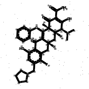 CN(C)[C@@H]1C(O)=C(C(N)=O)C(=O)[C@@]2(C)C(Oc3ccccc3)=C3C(=O)c4c(O)cc(CN5CCCC5)c(F)c4C[C@H]3C[C@@H]12